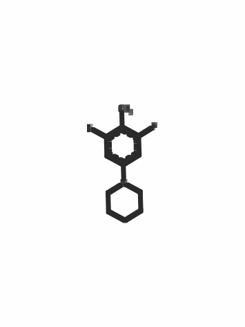 Cc1c(F)cc(N2CCCCC2)cc1F